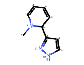 CN1C=CC=CC1c1cc[nH]n1